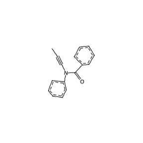 CC#CN(C(=O)c1ccccc1)c1ccccc1